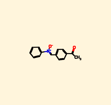 CC(=O)c1ccc(C=[N+]([O-])c2ccccc2)cc1